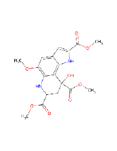 COC(=O)c1cc2cc(OC)c3c(c2[nH]1)C(O)(C(=O)OC)CC(C(=O)OC)N3